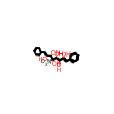 O=[N+]([O-])[C@@](O)([C@H](O)C(O)=Cc1ccccc1)[C@H](O)[C@@H](O)C(O)=Cc1ccccc1